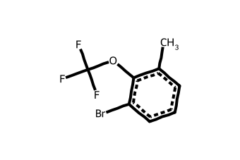 Cc1cccc(Br)c1OC(F)(F)F